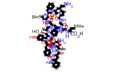 CSCC[C@H](NC(=O)[C@H](C)NC(=O)CNC(=O)[C@@H]1CCCN1C(=O)[C@H](CCCCN)NC(=O)[C@H](Cc1ccccc1)NC(=O)[C@H](CCSC)NC(=O)[C@H](Cc1c[nH]c2ccccc12)NC(=O)[C@H](CC(=O)O)NC(=O)[C@H](Cc1ccc(O)cc1)NC(=O)[C@H](CC(N)=O)NC(=O)[C@H](Cc1ccc(O)cc1)NC(=O)[C@H](CC(N)=O)NC(=O)[C@@H](NC(=O)[C@@H](N)Cc1c[nH]c2ccccc12)C(C)C)C(=O)O